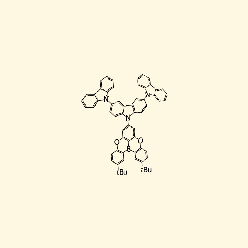 CC(C)(C)c1ccc2c(c1)B1c3cc(C(C)(C)C)ccc3Oc3cc(-n4c5ccc(-n6c7ccccc7c7ccccc76)cc5c5cc(-n6c7ccccc7c7ccccc76)ccc54)cc(c31)O2